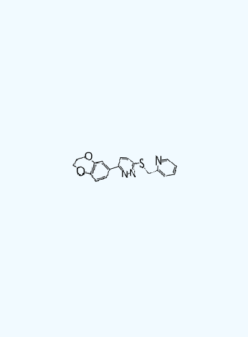 c1ccc(CSc2ccc(-c3ccc4c(c3)OCCO4)nn2)nc1